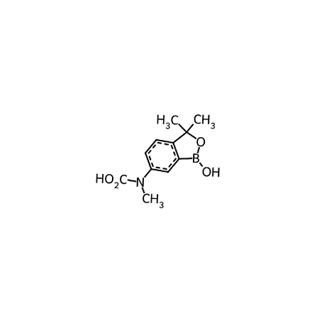 CN(C(=O)O)c1ccc2c(c1)B(O)OC2(C)C